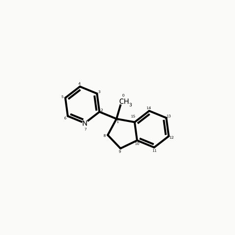 CC1(c2ccccn2)CCc2ccccc21